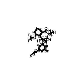 [2H]C([2H])([2H])N1C(=O)c2cccc(OC(F)F)c2[C@H]2C[C@@H]1c1nc3c(F)cc(C#CC)cc3n12